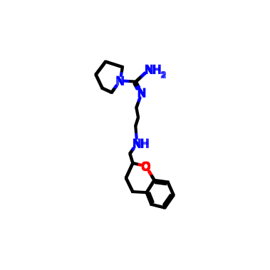 NC(=NCCCNCC1CCc2ccccc2O1)N1CCCCC1